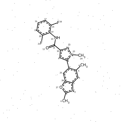 Cc1nc2cc(C)c(-c3cc(C(=O)Nc4c(F)cccc4F)nn3C)cc2o1